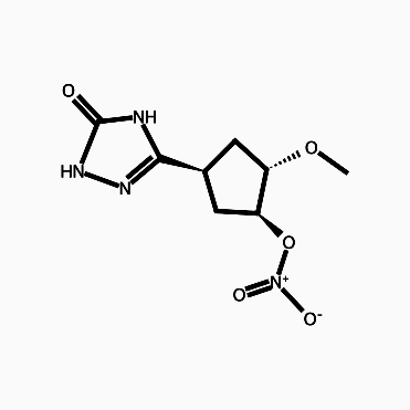 CO[C@H]1C[C@H](c2n[nH]c(=O)[nH]2)C[C@@H]1O[N+](=O)[O-]